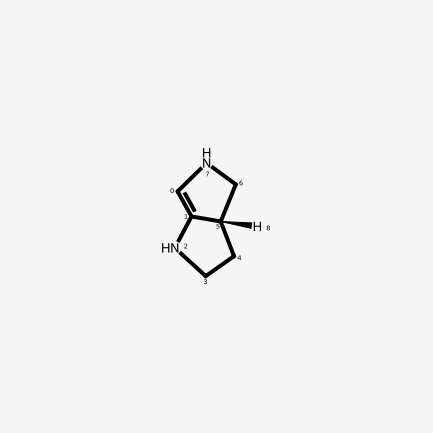 C1=C2NCC[C@H]2CN1